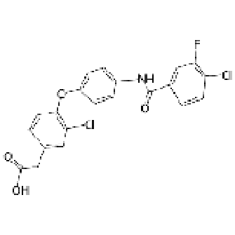 O=C(O)Cc1ccc(Oc2ccc(NC(=O)c3ccc(Cl)c(F)c3)cc2)c(Cl)c1